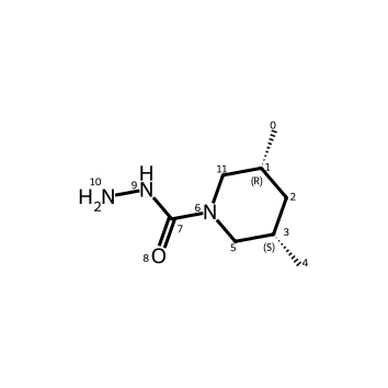 C[C@@H]1C[C@H](C)CN(C(=O)NN)C1